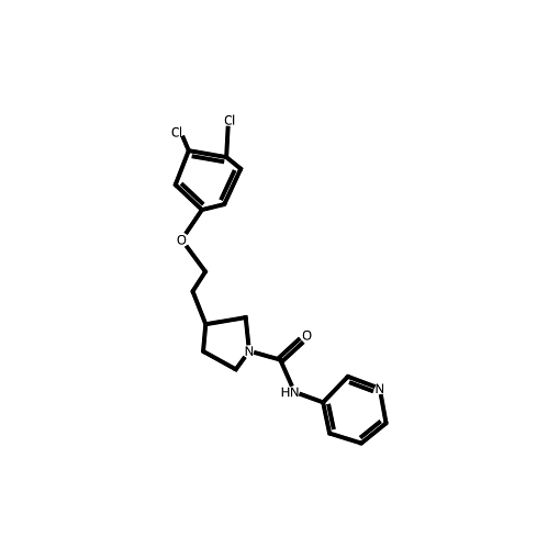 O=C(Nc1cccnc1)N1CCC(CCOc2ccc(Cl)c(Cl)c2)C1